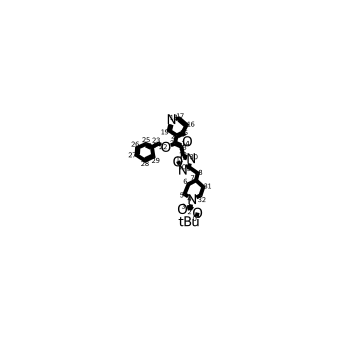 CC(C)(C)OC(=O)N1CCC(Cc2noc(-c3oc4ccncc4c3OCc3ccccc3)n2)CC1